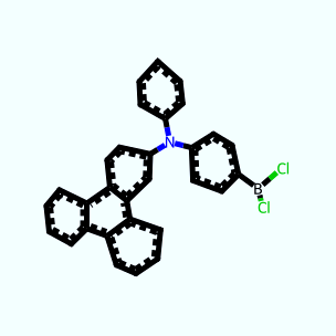 ClB(Cl)c1ccc(N(c2ccccc2)c2ccc3c4ccccc4c4ccccc4c3c2)cc1